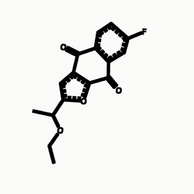 CCOC(C)c1cc2c(o1)C(=O)c1cc(F)ccc1C2=O